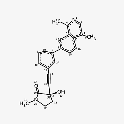 Cc1cnc(C)c2nc(-c3cccc(C#C[C@]4(O)CCN(C)C4=O)c3)ccc12